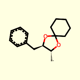 [CH2][C@H]1OC2(CCCCC2)O[C@@H]1Cc1ccccc1